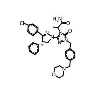 CC(C(N)=O)n1c(N2C[C@H](c3ccccc3)C(c3ccc(Cl)cc3)=N2)nn(Cc2ccc(CN3CCOCC3)cc2)c1=O